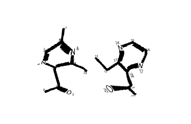 CC(=O)c1ncc(C)nc1C.CCc1nccnc1C(C)=O